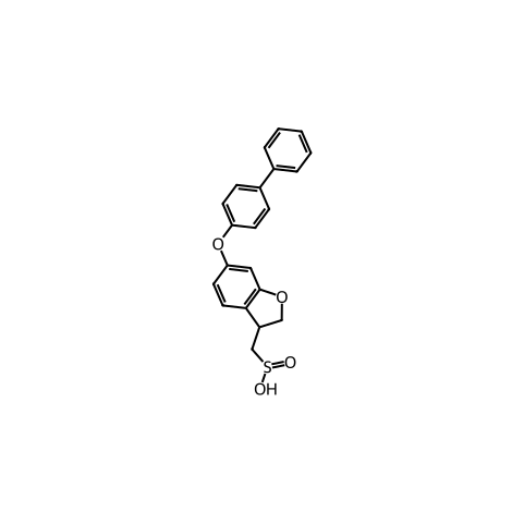 O=S(O)CC1COc2cc(Oc3ccc(-c4ccccc4)cc3)ccc21